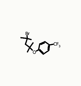 CC(C)(Br)CC(C)(C)Oc1ccc(C(F)(F)F)cc1